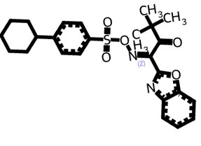 CC(C)(C)C(=O)/C(=N\OS(=O)(=O)c1ccc(C2CCCCC2)cc1)c1nc2ccccc2o1